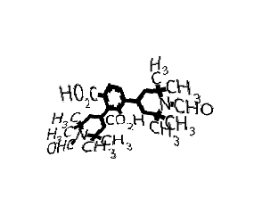 CC1(C)CC(c2ccc(C(=O)O)c(C3CC(C)(C)N(C=O)C(C)(C)C3)c2C(=O)O)CC(C)(C)N1C=O